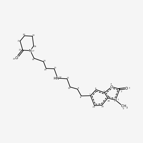 Cn1c(=O)oc2cc(CCCCNCCCCN3CCCCC3=O)ccc21